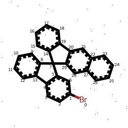 Brc1ccc2c(c1)C1(c3ccccc3-2)c2ccccc2-c2cc3ccccc3cc21